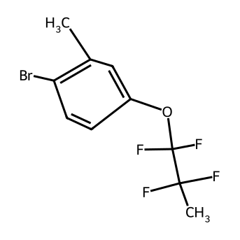 Cc1cc(OC(F)(F)C(C)(F)F)ccc1Br